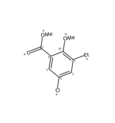 CCc1cc(Cl)cc(C(=O)OC)c1OC